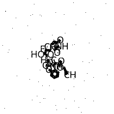 C#CCOC(=O)[C@H](C)N[P@](=O)(OC[C@H]1O[C@@H](n2ccc(=O)[nH]c2=O)[C@](C)(F)[C@@H]1O)Oc1ccccc1